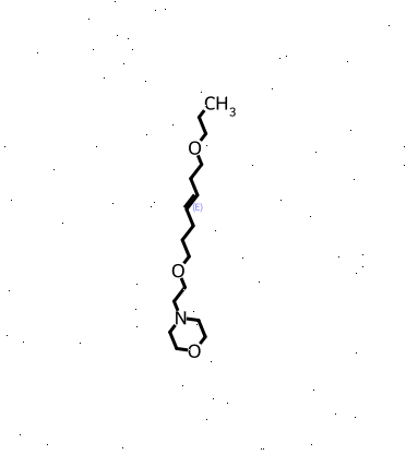 CCCOCC/C=C/CCCOCCN1CCOCC1